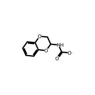 [O]C(=O)NC1COc2ccccc2O1